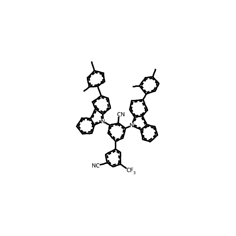 Cc1ccc(-c2ccc3c(c2)c2ccccc2n3-c2cc(-c3cc(C#N)cc(C(F)(F)F)c3)cc(-n3c4ccccc4c4cc(-c5ccc(C)cc5C)ccc43)c2C#N)c(C)c1